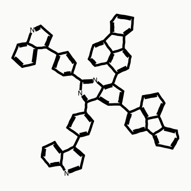 c1ccc2c(c1)-c1cccc3c(-c4cc(-c5ccc6c7c(cccc57)-c5ccccc5-6)c5nc(-c6ccc(-c7ccnc8ccccc78)cc6)nc(-c6ccc(-c7ccnc8ccccc78)cc6)c5c4)ccc-2c13